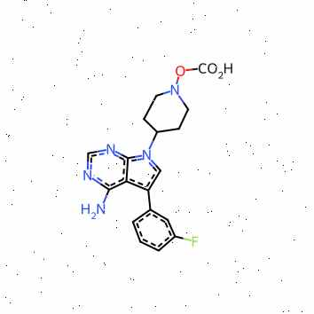 Nc1ncnc2c1c(-c1cccc(F)c1)cn2C1CCN(OC(=O)O)CC1